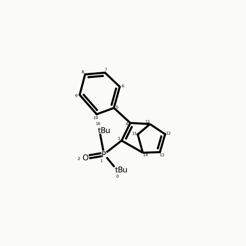 CC(C)(C)P(=O)(C1=C(c2ccccc2)C2C=CC1C2)C(C)(C)C